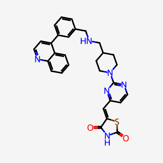 O=C1NC(=O)/C(=C/c2ccnc(N3CCC(CNCc4cccc(-c5ccnc6ccccc56)c4)CC3)n2)S1